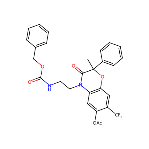 CC(=O)Oc1cc2c(cc1C(F)(F)F)OC(C)(c1ccccc1)C(=O)N2CCNC(=O)OCc1ccccc1